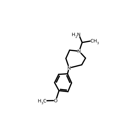 COc1ccc(N2CCN(C(C)N)CC2)cc1